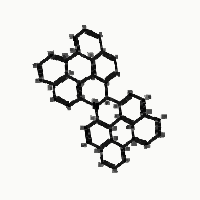 c1cc2ccc3c4c5c(ccc6cccc(c(c1)c24)c65)N1c2ccc4cccc5c6cccc7ccc(c(c2c45)c76)C31